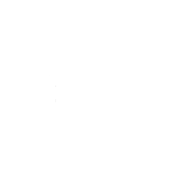 Cc1ccccc1CCC=CCCCC(C)(P(=O)(O)O)S(=O)(=O)O